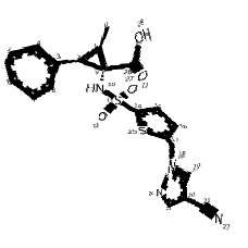 C[C@@H]1[C@H](c2ccccc2)[C@]1(NS(=O)(=O)c1ccc(-n2cc(C#N)cn2)s1)C(=O)O